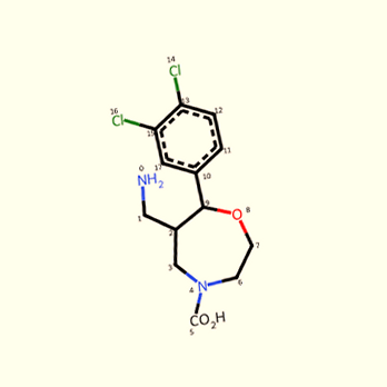 NCC1CN(C(=O)O)CCOC1c1ccc(Cl)c(Cl)c1